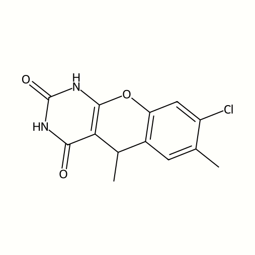 Cc1cc2c(cc1Cl)Oc1[nH]c(=O)[nH]c(=O)c1C2C